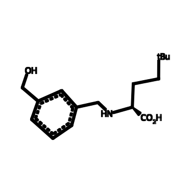 CC(C)(C)CC[C@H](NCc1cccc(CO)c1)C(=O)O